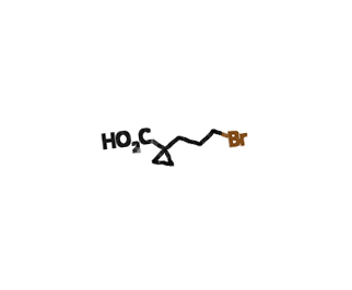 O=C(O)C1(CCCBr)CC1